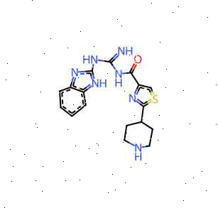 N=C(NC(=O)c1csc(C2CCNCC2)n1)Nc1nc2ccccc2[nH]1